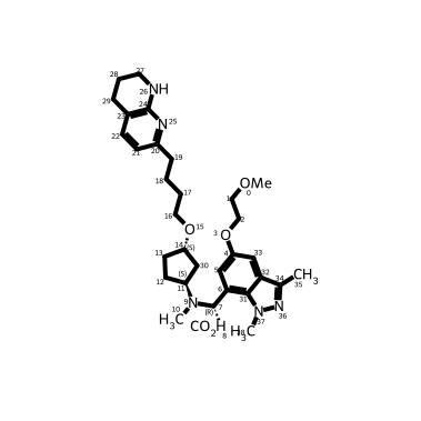 COCCOc1cc([C@H](C(=O)O)N(C)[C@H]2CC[C@H](OCCCCc3ccc4c(n3)NCCC4)C2)c2c(c1)c(C)nn2C